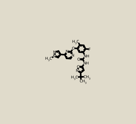 Cc1cc(F)c(NC(=O)Nc2cc(C(C)(C)C)no2)cc1Oc1nccc(-c2cnn(C)c2)n1